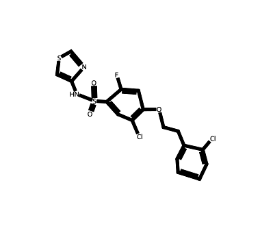 O=S(=O)(Nc1cscn1)c1cc(Cl)c(OCCc2ccccc2Cl)cc1F